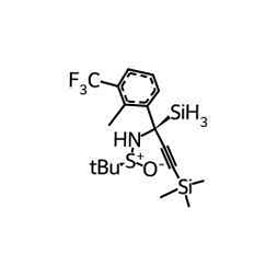 Cc1c(C(F)(F)F)cccc1[C@]([SiH3])(C#C[Si](C)(C)C)N[S@@+]([O-])C(C)(C)C